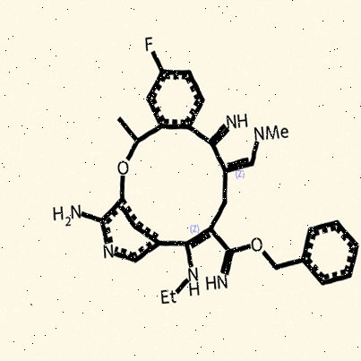 CCN/C1=C(\C(=N)OCc2ccccc2)C/C(=C/NC)C(=N)c2ccc(F)cc2C(C)Oc2cc1cnc2N